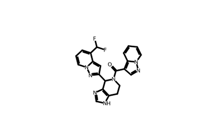 O=C(c1cnn2ccccc12)N1CCc2[nH]cnc2C1c1cc2c(C(F)F)cccn2n1